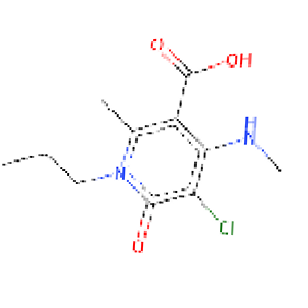 CCCn1c(C)c(C(=O)O)c(NC)c(Cl)c1=O